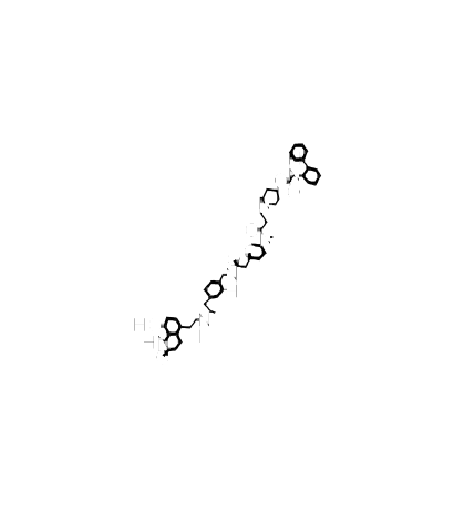 CC(Cc1ccc(CNC(=O)Cc2ccc(N(C)C(=O)CCN3CCC(OC(=O)Nc4ccccc4-c4ccccc4)CC3)cc2)cc1)NCCc1ccc(O)c2[nH]c(=O)ccc12